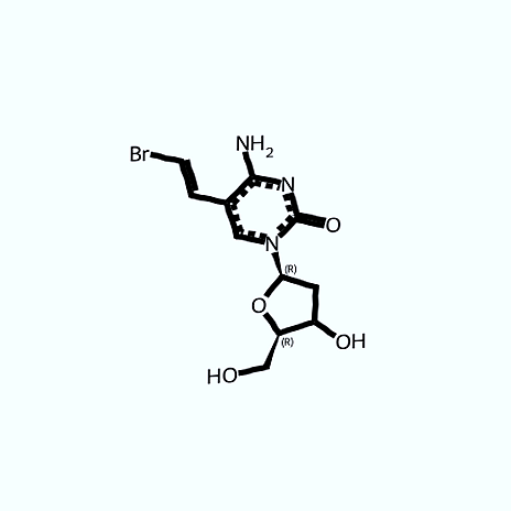 Nc1nc(=O)n([C@H]2CC(O)[C@@H](CO)O2)cc1C=CBr